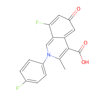 Cc1c(C(=O)O)c2cc(=O)cc(F)c-2cn1-c1ccc(F)cc1